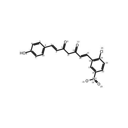 O=C(C=Cc1ccc(O)cc1)CC(=O)C=Cc1cc([N+](=O)[O-])ccc1Cl